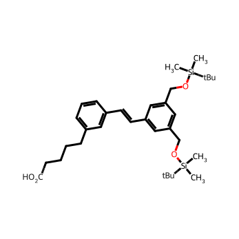 CC(C)(C)[Si](C)(C)OCc1cc(C=Cc2cccc(CCCCC(=O)O)c2)cc(CO[Si](C)(C)C(C)(C)C)c1